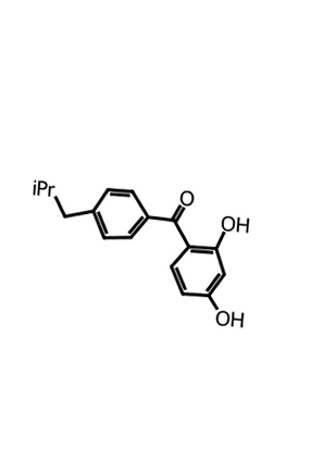 CC(C)Cc1ccc(C(=O)c2ccc(O)cc2O)cc1